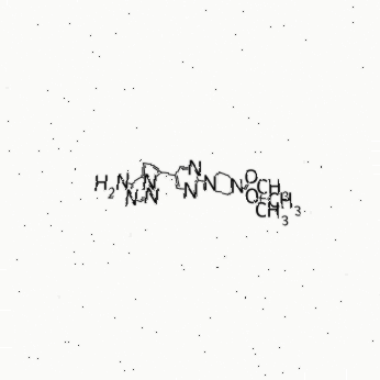 CC(C)(C)OC(=O)N1CCN(c2ncc(-c3ccc4c(N)ncnn34)cn2)CC1